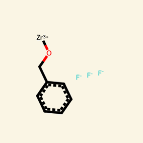 [F-].[F-].[F-].[Zr+3][O]Cc1ccccc1